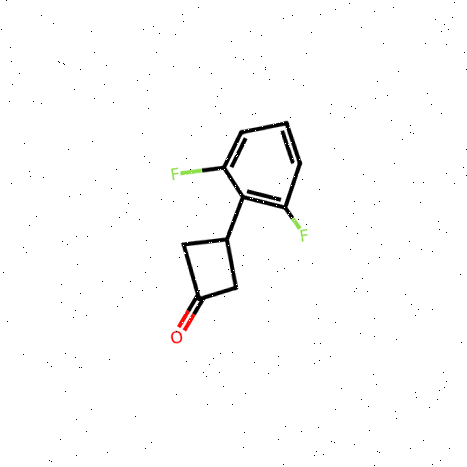 O=C1CC(c2c(F)cccc2F)C1